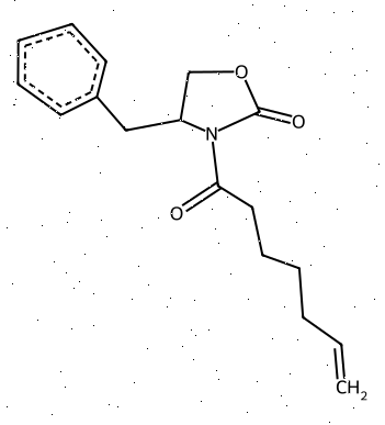 C=CCCCCC(=O)N1C(=O)OCC1Cc1ccccc1